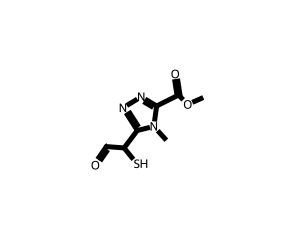 COC(=O)c1nnc(C(S)[C]=O)n1C